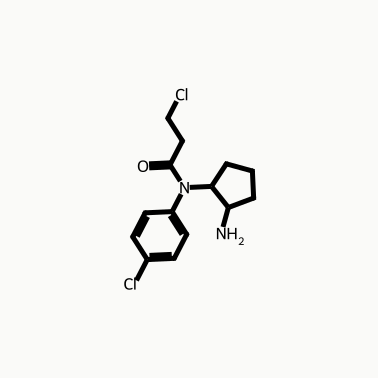 NC1CCCC1N(C(=O)CCCl)c1ccc(Cl)cc1